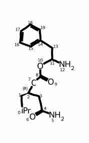 CC(C)C[C@H](CC(N)=O)CC(=O)OC(N)Cc1ccccc1